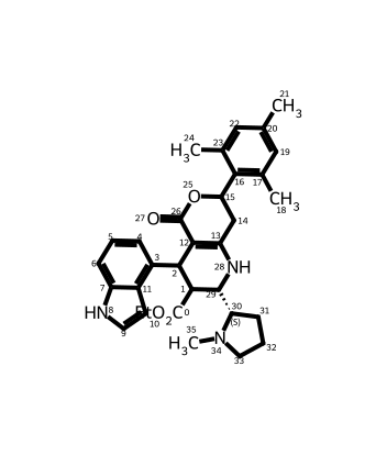 CCOC(=O)C1C(c2cccc3[nH]ccc23)C2=C(CC(c3c(C)cc(C)cc3C)OC2=O)NC1[C@@H]1CCCN1C